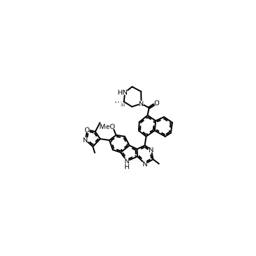 COc1cc2c(cc1-c1c(C)noc1C)[nH]c1nc(C)nc(-c3ccc(C(=O)N4CCN[C@@H](C)C4)c4ccccc34)c12